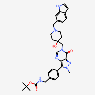 Cn1nc2c(=O)n(CC3(O)CCN(Cc4ccc5cc[nH]c5c4)CC3)cnc2c1-c1ccc(CNC(=O)OC(C)(C)C)cc1